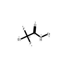 CCNC(=O)C(F)(F)CC